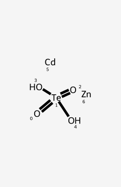 O=[Te](=O)(O)O.[Cd].[Zn]